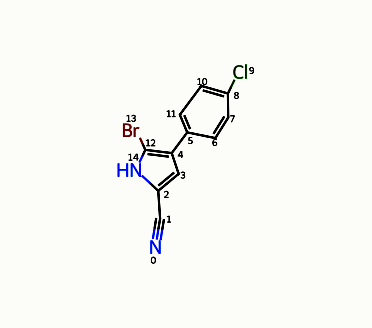 N#Cc1cc(-c2ccc(Cl)cc2)c(Br)[nH]1